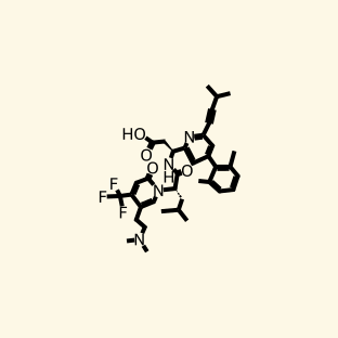 Cc1cccc(C)c1-c1cc(C#CC(C)C)nc([C@H](CC(=O)O)NC(=O)[C@H](CC(C)C)n2cc(CCN(C)C)c(C(F)(F)F)cc2=O)c1